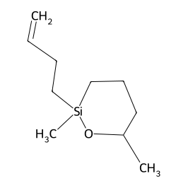 C=CCC[Si]1(C)CCCC(C)O1